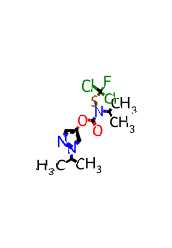 CC(C)N(SC(F)(Cl)Cl)C(=O)Oc1cnn(C(C)C)c1